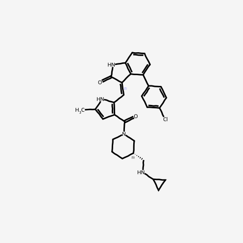 Cc1cc(C(=O)N2CCC[C@@H](CNC3CC3)C2)c(/C=C2\C(=O)Nc3cccc(-c4ccc(Cl)cc4)c32)[nH]1